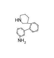 Nc1cccc(-c2ccccc2C2CCCNC2)c1